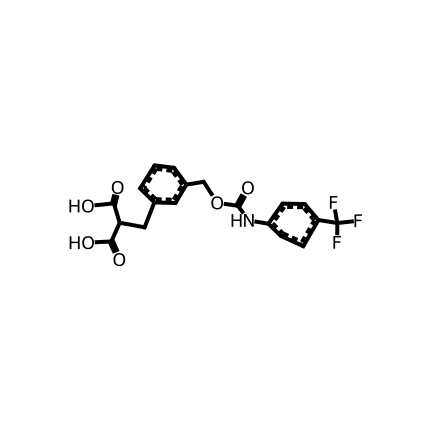 O=C(Nc1ccc(C(F)(F)F)cc1)OCc1cccc(CC(C(=O)O)C(=O)O)c1